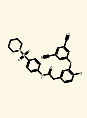 N#Cc1cc(C#N)cc(Oc2cc(CC(=O)Nc3ccc(S(=O)(=O)N4CCCCC4)cc3)ccc2Cl)c1